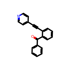 O=C(c1ccccc1)c1ccccc1C#Cc1ccncc1